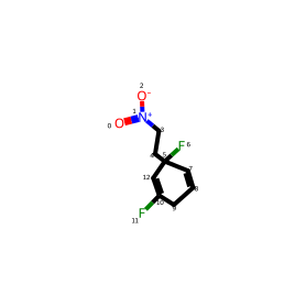 O=[N+]([O-])CCC1(F)C=CCC(F)=C1